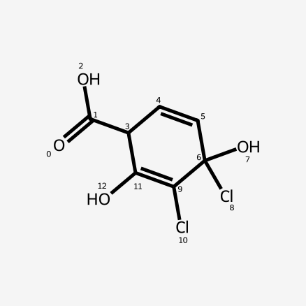 O=C(O)C1C=CC(O)(Cl)C(Cl)=C1O